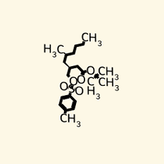 CCCC[C@@H](C)C[C@H](COS(=O)(=O)c1ccc(C)cc1)CC(=O)OC(C)(C)C